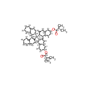 C=C(C)C(=O)Oc1ccc2cc(C3(c4ccc5cc(OC(=O)C(=C)C)ccc5c4)c4ccc5ccccc5c4-c4c3ccc3ccccc43)ccc2c1